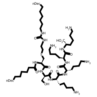 CCCCCCCCCCCCCCCCNC(=O)NCCSC[C@H](NC(=O)CCCCCCCCCCCCCCC)C(=O)N[C@H](CO)C(=O)N[C@@H](CCCCN)C(=O)N[C@@H](CCCCN)C(=O)N[C@@H](CCCCN)C(=O)N[C@@H](CCCCN)C(=O)O